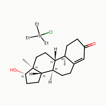 CC[Si](Cl)(CC)CC.C[C@]12CC[C@H]3[C@@H](CCC4=CC(=O)CC[C@@]43C)[C@@H]1CC[C@@H]2O